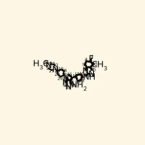 Cc1c(F)ccc2nc(Nc3ccc(-c4cn([C@H]5CC[C@@H](N6CCN(C)CC6)CC5)c5ncnc(N)c45)cc3)ncc12